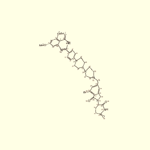 COc1cc(OC)c2c(=O)[nH]c(-c3ccc(N4CCC(N5CCN(Cc6cc(Br)c7c(c6)CN(C6CCC(=O)NC6=O)C7=O)CC5)CC4)cc3)nc2c1